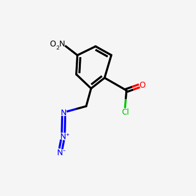 [N-]=[N+]=NCc1cc([N+](=O)[O-])ccc1C(=O)Cl